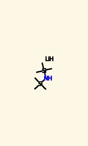 C[Si](C)(C)N[Si](C)(C)C.[LiH]